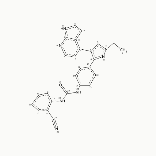 CCn1cc(-c2ccnc3[nH]ccc23)c(-c2ccc(NC(=O)Nc3ccccc3C#N)cc2)n1